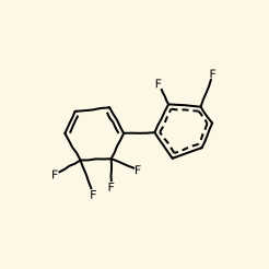 Fc1cccc(C2=CC=CC(F)(F)C2(F)F)c1F